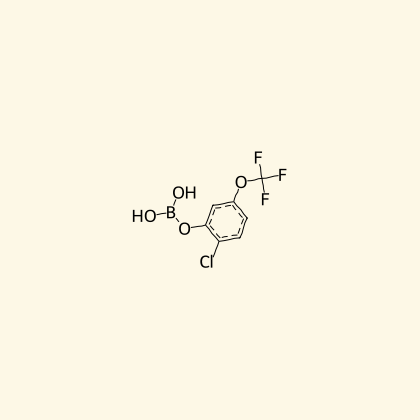 OB(O)Oc1cc(OC(F)(F)F)ccc1Cl